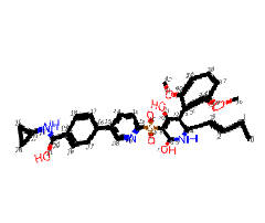 CCCCC1NC(O)C(S(=O)(=O)c2ccc(C3C=CC(C(O)NC4CC4)=CC3)cn2)=C(O)C1C1=C(OC)CCC=C1OC